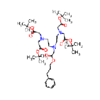 CC(C)(C)OC(=O)CN(CCN(CCN(CC(=O)OC(C)(C)C)CC(=O)OC(C)(C)C)CC(=O)OCCCc1ccccc1)CC(=O)OC(C)(C)C